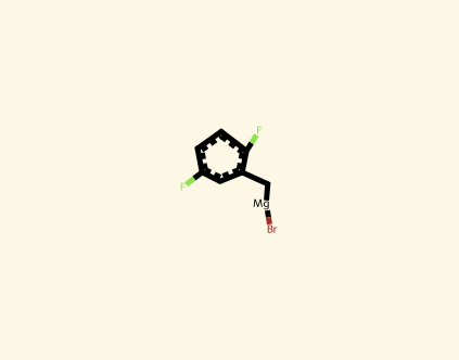 Fc1ccc(F)c([CH2][Mg][Br])c1